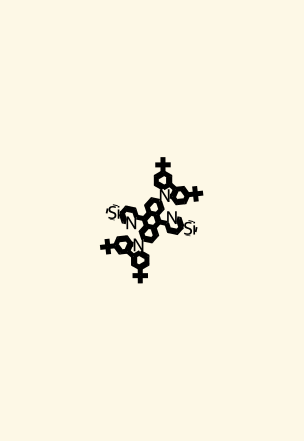 CC(C)(C)c1ccc2c(c1)c1cc(C(C)(C)C)ccc1n2-c1ccc2c(-c3ccc([Si](C)(C)C)cn3)c3cc(-n4c5ccc(C(C)(C)C)cc5c5cc(C(C)(C)C)ccc54)ccc3c(-c3ccc([Si](C)(C)C)cn3)c2c1